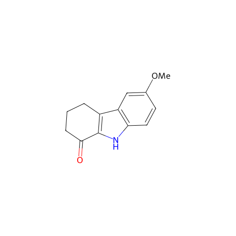 COc1ccc2[nH]c3c(c2c1)CCCC3=O